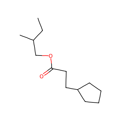 CCC(C)COC(=O)CCC1CCCC1